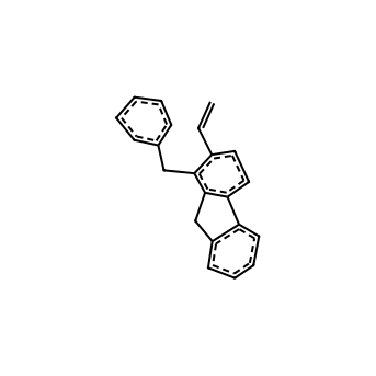 C=Cc1ccc2c(c1Cc1ccccc1)Cc1ccccc1-2